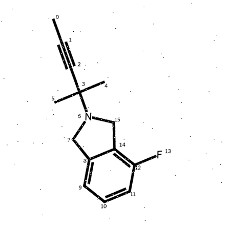 CC#CC(C)(C)N1Cc2cccc(F)c2C1